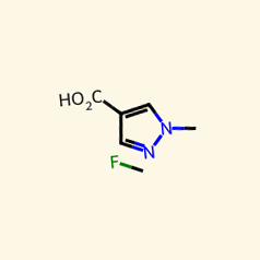 CF.Cn1cc(C(=O)O)cn1